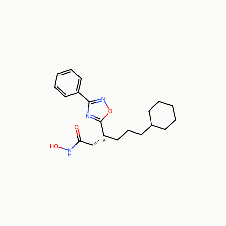 O=C(C[C@@H](CCCC1CCCCC1)c1nc(-c2ccccc2)no1)NO